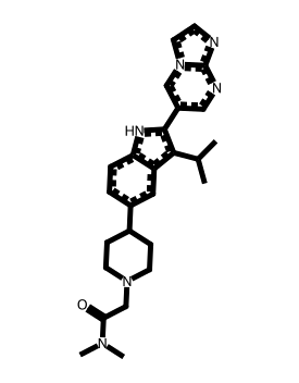 CC(C)c1c(-c2cnc3nccn3c2)[nH]c2ccc(C3CCN(CC(=O)N(C)C)CC3)cc12